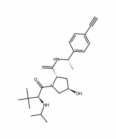 C#Cc1ccc([C@H](C)NC(=C)[C@@H]2C[C@@H](O)CN2C(=O)[C@@H](NC(C)C)C(C)(C)C)cc1